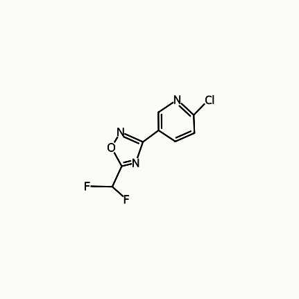 FC(F)c1nc(-c2ccc(Cl)nc2)no1